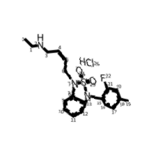 CCNC/C=C\CN1c2ccccc2N(c2ccc(C)cc2F)S1(=O)=O.Cl